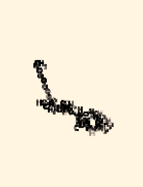 COCCOCCOCCOCCOCCOCCOCCC(=O)N(CCC(=O)O)CCC(=O)C[C@H](C(=O)N[C@@H](C)C(=O)Nc1ccc(COC(=O)NCc2ccc([C@H]3O[C@@H]3[C@@H](C)[C@@H]3C/C=C/C(=O)N[C@H](Cc4ccc(OC)c(Cl)c4)C(=O)NCC(C)(C)C(=O)O[C@@H](CC(C)C)C(=O)O3)cc2)cc1)C(C)C